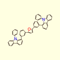 c1ccc(-n2c3ccccc3c3cccc(-c4cccc(-c5ccc(-c6cccc(-c7cccc8c9ccccc9n(-c9ccccc9)c78)c6)o5)c4)c32)cc1